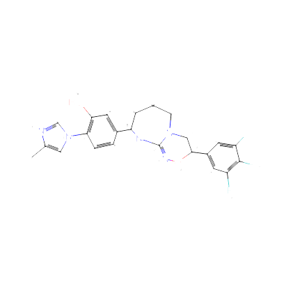 Cc1cn(-c2ccc(C3CCCN4CC(c5cc(F)c(F)c(F)c5)ON=C4N3)cc2O)cn1